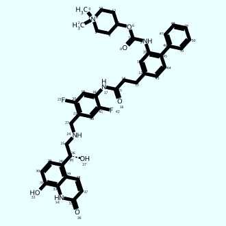 C[N+]1(C)CCC(OC(=O)Nc2cc(CCC(=O)Nc3cc(F)c(CNC[C@H](O)c4ccc(O)c5[nH]c(=O)ccc45)cc3F)ccc2-c2ccccc2)CC1